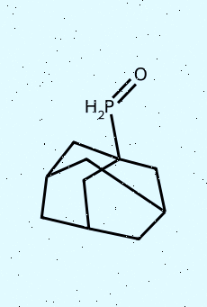 O=[PH2]C12CC3CC(CC(C3)C1)C2